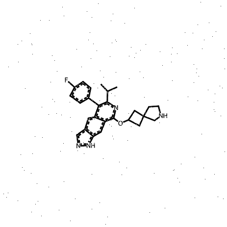 CC(C)c1nc(OC2CC3(CCNC3)C2)c2cc3[nH]ncc3cc2c1-c1ccc(F)cc1